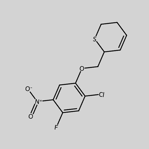 O=[N+]([O-])c1cc(OCC2C=CCCS2)c(Cl)cc1F